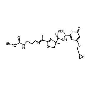 CCCC[C@@H](NC(=O)C1(C)CSC(/C(C)=N/CCCNC(=O)OC(C)(C)C)=N1)c1cc(OCC2CC2)cc(=O)o1